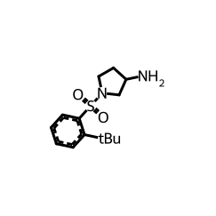 CC(C)(C)c1ccccc1S(=O)(=O)N1CCC(N)C1